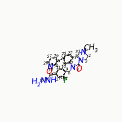 CN1CCN(C(=O)N(Cc2ccc(C(=O)NN)cc2F)c2cccc(-c3cccnc3)c2)CC1